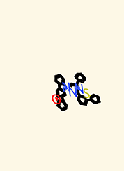 c1ccc(-c2cc(-n3c4ccccc4c4cc5oc6ccccc6c5cc43)nc(-c3cccc4c3sc3ccccc34)n2)cc1